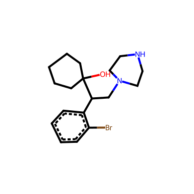 OC1(C(CN2CCNCC2)c2ccccc2Br)CCCCC1